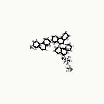 F[P-](F)(F)(F)(F)F.F[P-](F)(F)(F)(F)F.[Ru+2].c1cnc2c(c1)ccc1cccnc12.c1cnc2c(c1)ccc1cccnc12.c1cnc2c(c1)ccc1cccnc12